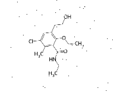 CCNC(=O)c1c(C)c(Cl)cc(CCO)c1OCC